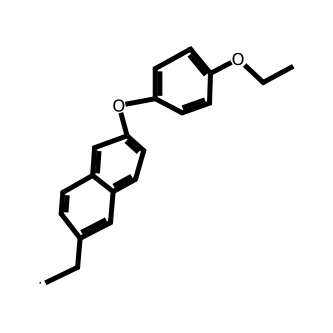 [CH2]Cc1ccc2cc(Oc3ccc(OCC)cc3)ccc2c1